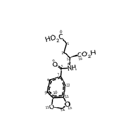 O=C(O)CC[C@H](NC(=O)c1ccc2c(c1)OCO2)C(=O)O